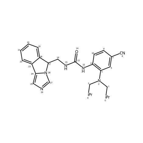 CC(C)CN(CC(C)C)c1cc(C#N)ccc1NC(=O)NCC1c2ccccc2-c2cncn21